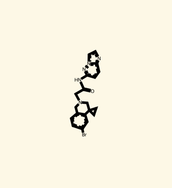 O=C(CN1Cc2ccc(Br)cc2C2(CC2)C1)Nc1ccc2nccn2n1